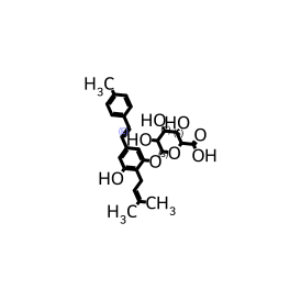 CC(C)=CCc1c(O)cc(/C=C/c2ccc(C)cc2)cc1O[C@@H]1OC(C(=O)O)[C@@H](O)[C@H](O)C1O